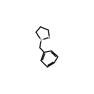 c1ccc(C[S+]2CCCS2)cc1